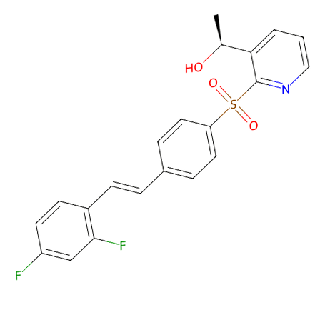 C[C@H](O)c1cccnc1S(=O)(=O)c1ccc(C=Cc2ccc(F)cc2F)cc1